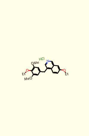 CCOc1ccc2c(Cc3cc(OC)c(OCC)c(OC)c3)cncc2c1.Cl